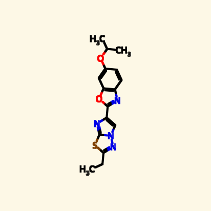 CCc1nn2cc(-c3nc4ccc(OC(C)C)cc4o3)nc2s1